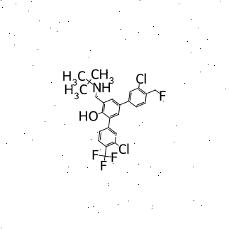 CC(C)(C)NCc1cc(-c2ccc(CF)c(Cl)c2)cc(-c2ccc(C(F)(F)F)c(Cl)c2)c1O